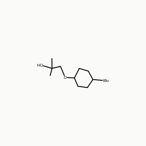 CC(C)(O)COC1CCC(C(C)(C)C)CC1